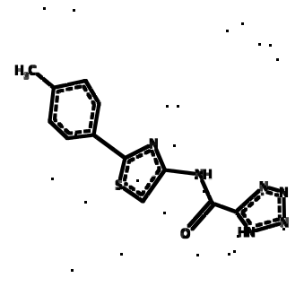 Cc1ccc(-c2nc(NC(=O)c3nnn[nH]3)cs2)cc1